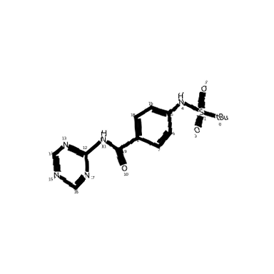 CC(C)(C)S(=O)(=O)Nc1ccc(C(=O)Nc2ncncn2)cc1